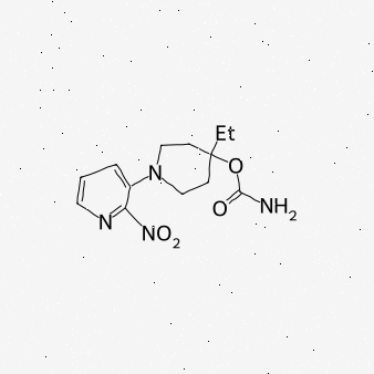 CCC1(OC(N)=O)CCN(c2cccnc2[N+](=O)[O-])CC1